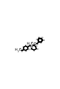 C=CC1CCC(CN2CCCCC2(C)OCc2ccccc2)CC1